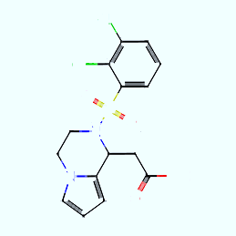 O=C(O)CC1c2cccn2CCN1S(=O)(=O)c1cccc(Cl)c1Cl